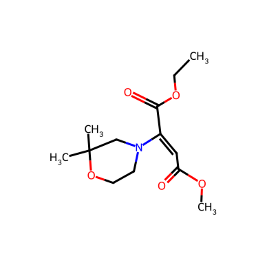 CCOC(=O)/C(=C/C(=O)OC)N1CCOC(C)(C)C1